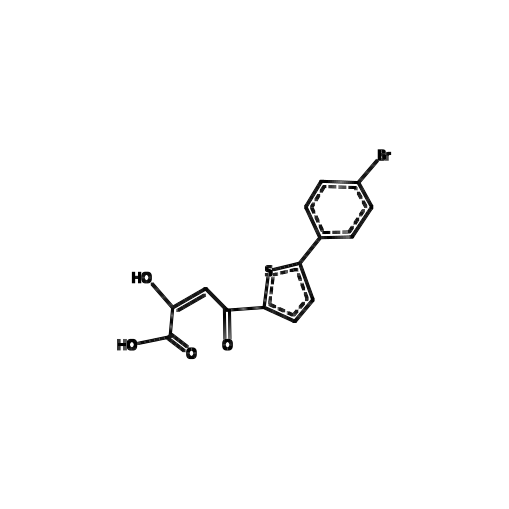 O=C(O)/C(O)=C\C(=O)c1ccc(-c2ccc(Br)cc2)s1